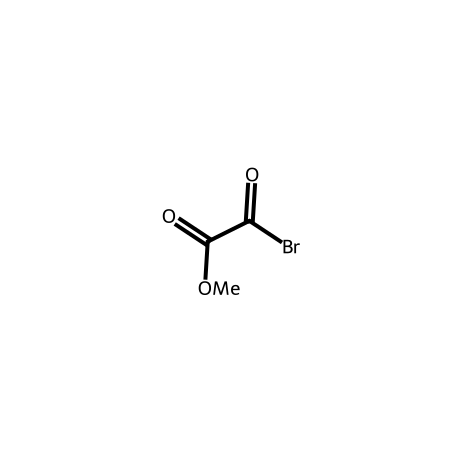 COC(=O)C(=O)Br